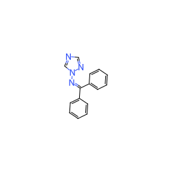 c1ccc(C(=Nn2cncn2)c2ccccc2)cc1